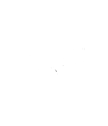 O=C1CC[C@]2(O)c3c(ccc(O)c31)-c1ccc(O)c3c1[C@H]2C1O[C@H]1C3=O